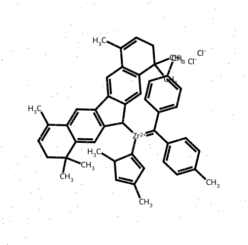 CC1=CC(C)[C]([Zr+2](=[C](c2ccc(C)cc2)c2ccc(C)cc2)[CH]2c3cc4c(cc3-c3cc5c(cc32)C(C)(C)CC=C5C)C(C)=CCC4(C)C)=C1.[Cl-].[Cl-]